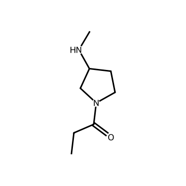 CCC(=O)N1CCC(NC)C1